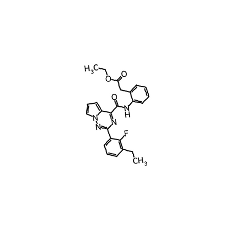 CCOC(=O)Cc1ccccc1NC(=O)c1nc(-c2cccc(CC)c2F)nn2cccc12